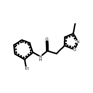 CCc1ccccc1NC(=O)Cc1cc(C)no1